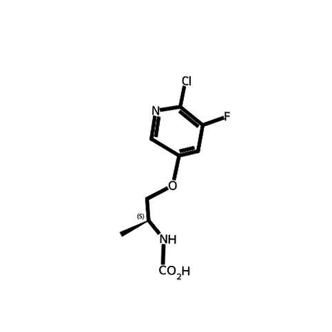 C[C@@H](COc1cnc(Cl)c(F)c1)NC(=O)O